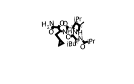 CC[C@@H](C)[C@H](NC(=O)C(C)C)C(=O)N1C[C@H](C)[C@H](C(C)C)[C@H]1C(=O)NC(CC1CC1)C(=O)C(N)=O